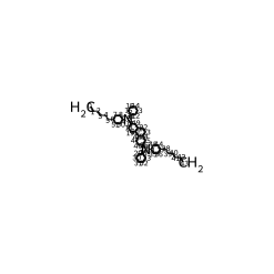 C=C/C=C/CCc1ccc(N(c2ccccc2)c2ccc3c(ccc4cc(N(c5ccccc5)c5ccc(CC/C=C/C=C)cc5)ccc43)c2)cc1